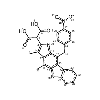 CC1=C(C(C(=O)O)C(=O)O)N=c2c(Cc3ccc([N+](=O)[O-])cc3)c3c(c(C)c21)=Nc1ccccc1-3